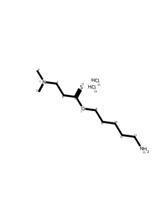 CN(C)CCC(=S)OCCCCCN.Cl.Cl